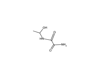 CC(O)NC(=O)C(N)=O